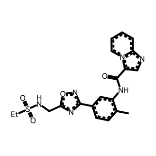 CCS(=O)(=O)NCc1nc(-c2ccc(C)c(NC(=O)c3cnc4ccccn34)c2)no1